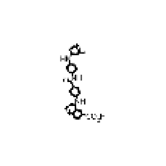 Cc1cc(Nc2ccc(NC(=O)c3ccc(Nc4ccnc5ccc(C(=O)O)cc45)cc3)cc2)ccn1